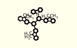 CC1(C)c2ccccc2-c2ccc(-c3cc(-c4cc(-c5ccc6c(c5)C(C)(C)c5ccccc5-6)cc(-n5c6ccccc6c6ccccc65)c4)cc(-c4ccc5c(c4)C(C)(C)C4C=CC=CC54)c3)cc21